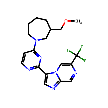 COCC1CCCCN(c2ccnc(-c3cnc4cnc(C(F)(F)F)cn34)n2)C1